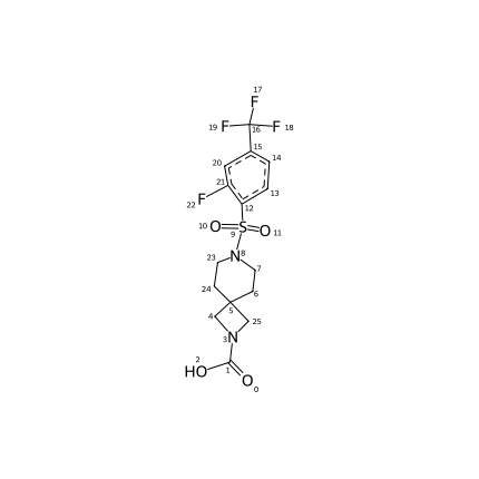 O=C(O)N1CC2(CCN(S(=O)(=O)c3ccc(C(F)(F)F)cc3F)CC2)C1